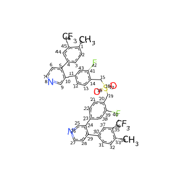 Cc1ccc(-c2ccncc2-c2ccc(CS(=O)(=O)Cc3ccc(-c4cnccc4-c4ccc(C)c(C(F)(F)F)c4)cc3F)c(F)c2)cc1C(F)(F)F